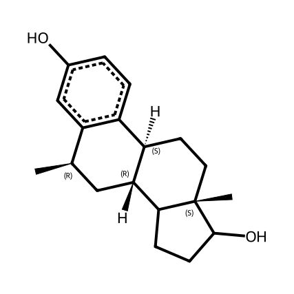 C[C@@H]1C[C@H]2C3CCC(O)[C@@]3(C)CC[C@@H]2c2ccc(O)cc21